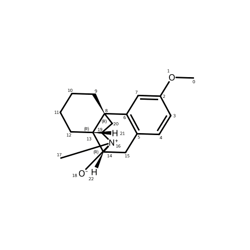 COc1ccc2c(c1)[C@@]13CCCC[C@H]1[C@@H](C2)[N+](C)([O-])CC3